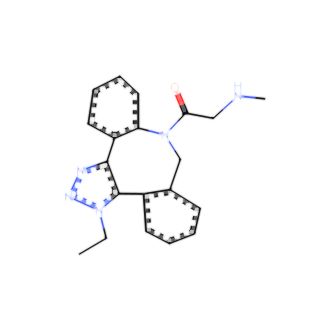 CCn1nnc2c1-c1ccccc1CN(C(=O)CNC)c1ccccc1-2